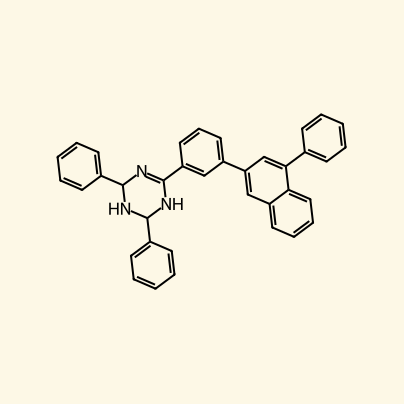 c1ccc(-c2cc(-c3cccc(C4=NC(c5ccccc5)NC(c5ccccc5)N4)c3)cc3ccccc23)cc1